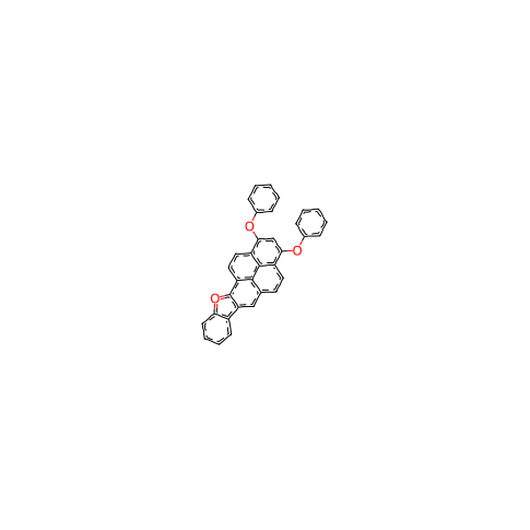 c1ccc(Oc2cc(Oc3ccccc3)c3ccc4c5oc6ccccc6c5cc5ccc2c3c54)cc1